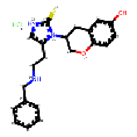 Cl.Oc1ccc2c(c1)CC(n1c(CCNCc3ccccc3)c[nH]c1=S)CO2